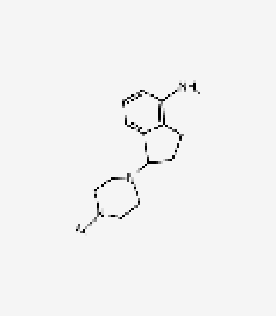 CC(=O)N1CCN(C2CCc3c(N)cccc32)CC1